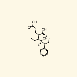 CCC(c1ccccc1)P(=O)(O)C(CC)C(CCC(=O)O)C(=O)O